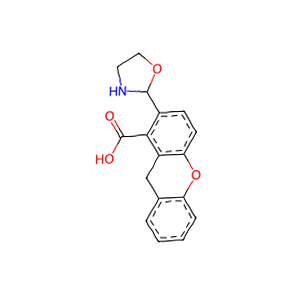 O=C(O)c1c(C2NCCO2)ccc2c1Cc1ccccc1O2